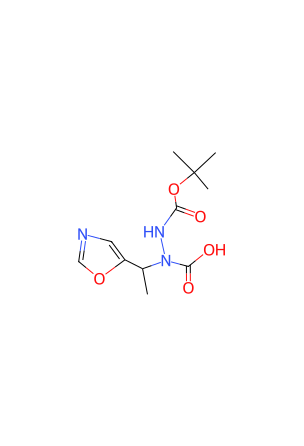 CC(c1cnco1)N(NC(=O)OC(C)(C)C)C(=O)O